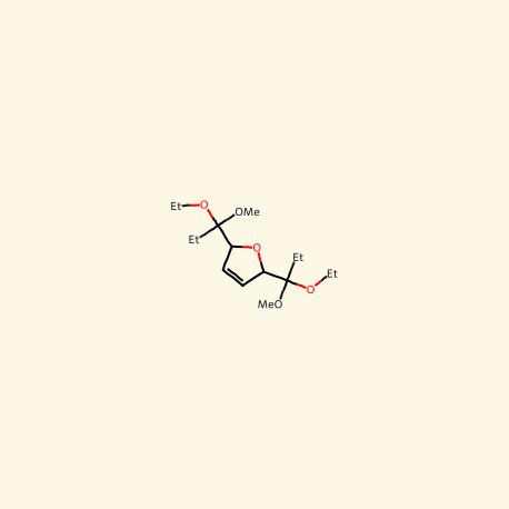 CCOC(CC)(OC)C1C=CC(C(CC)(OC)OCC)O1